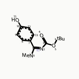 CN/C(=N/C(=O)OC(C)(C)C)c1ccc(O)cc1